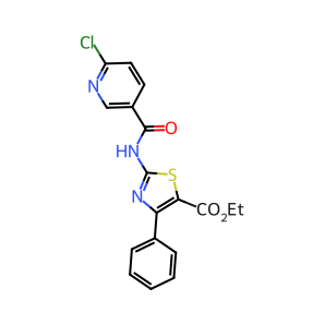 CCOC(=O)c1sc(NC(=O)c2ccc(Cl)nc2)nc1-c1ccccc1